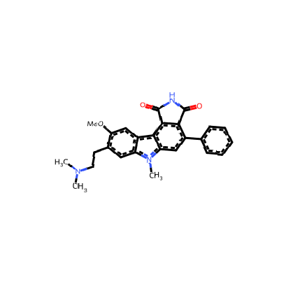 COc1cc2c3c4c(c(-c5ccccc5)cc3n(C)c2cc1CCN(C)C)C(=O)NC4=O